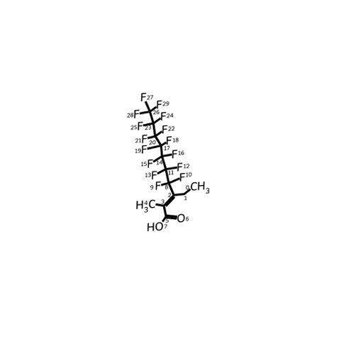 CCC(=C(C)C(=O)O)C(F)(F)C(F)(F)C(F)(F)C(F)(F)C(F)(F)C(F)(F)C(F)(F)F